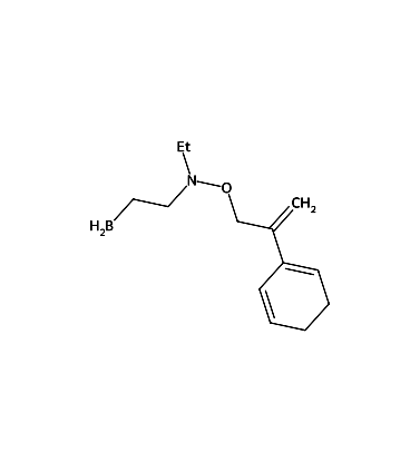 BCCN(CC)OCC(=C)C1=CCCC=C1